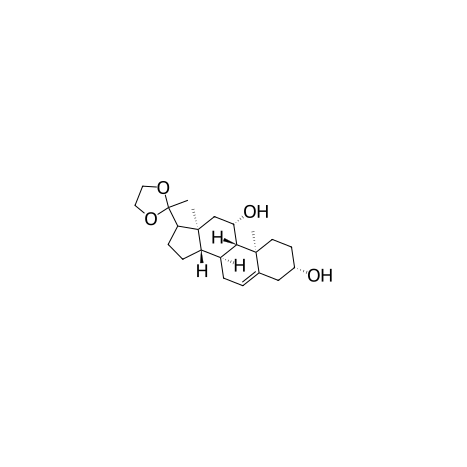 CC1(C2CC[C@H]3[C@@H]4CC=C5C[C@@H](O)CC[C@]5(C)[C@H]4[C@@H](O)C[C@]23C)OCCO1